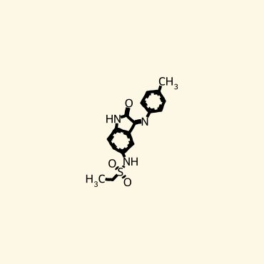 CCS(=O)(=O)Nc1ccc2c(c1)/C(=N/c1ccc(C)cc1)C(=O)N2